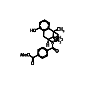 COC(=O)c1ccc(C(=O)N2CCC3(C)c4cccc(O)c4C[C@@H]2C3(C)C)cc1